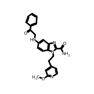 COc1cc(CCn2c(C(N)=O)nc3cc(NCC(=O)c4ccccc4)ccc32)ccn1